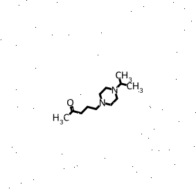 CC(=O)CCCN1CCN(C(C)C)CC1